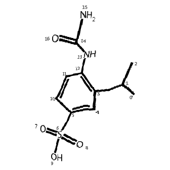 CC(C)c1cc(S(=O)(=O)O)ccc1NC(N)=O